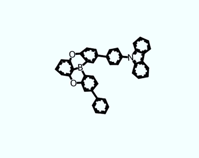 c1ccc(-c2ccc3c(c2)Oc2cccc4c2B3c2cc(-c3ccc(-n5c6ccccc6c6ccccc65)cc3)ccc2O4)cc1